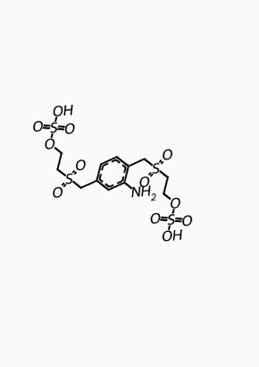 Nc1cc(CS(=O)(=O)CCOS(=O)(=O)O)ccc1CS(=O)(=O)CCOS(=O)(=O)O